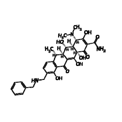 C[C@H]1c2ccc(CNCc3ccccc3)c(O)c2C(=O)C2=C(O)[C@]3(O)C(=O)C(C(N)=O)=C(O)[C@@H](N(C)C)[C@@H]3[C@@H](O)[C@@H]21